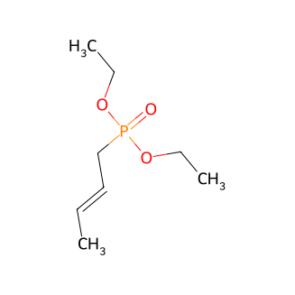 CC=CCP(=O)(OCC)OCC